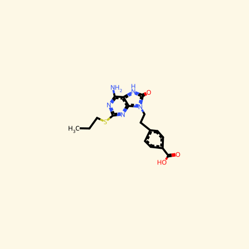 CCCSc1nc(N)c2[nH]c(=O)n(CCc3ccc(C(=O)O)cc3)c2n1